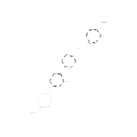 CCc1ccc(CCc2ccc(-c3ccc(C4CCC(CC)CC4)cc3F)cc2)cc1